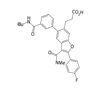 CCC(C)NC(=O)c1cccc(-c2cc3c(C(=O)NC)c(-c4ccc(F)cc4)oc3cc2CCC(=O)O)c1